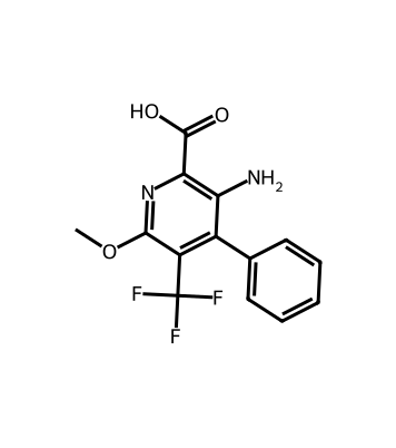 COc1nc(C(=O)O)c(N)c(-c2ccccc2)c1C(F)(F)F